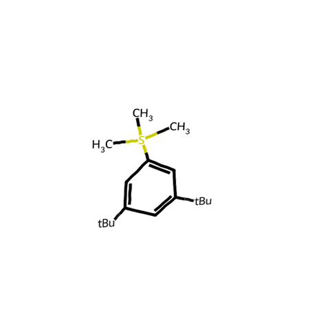 CC(C)(C)c1cc(C(C)(C)C)cc(S(C)(C)C)c1